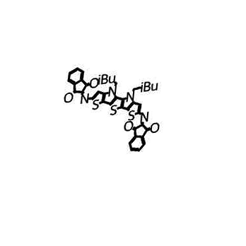 CCC(C)Cn1c2cc(N=c3c(=O)c4ccccc4c3=O)sc2c2sc3c4sc(N=c5c(=O)c6ccccc6c5=O)cc4n(CC(C)CC)c3c21